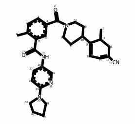 Cc1ccc(C(=O)N2CCC(C3=CC=C(C#N)CC3C)CC2)cc1C(=O)Nc1ccc(N2CCCC2)nc1